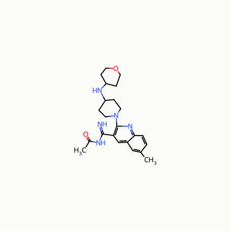 CC(=O)NC(=N)c1cc2cc(C)ccc2nc1N1CCC(NC2CCOCC2)CC1